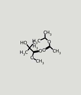 CC(=O)OC(C)C.COC(=O)C(C)(C)O